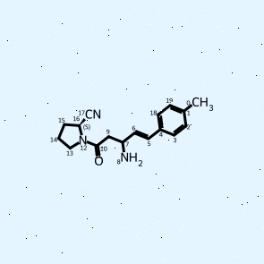 Cc1ccc(C=CC(N)CC(=O)N2CCC[C@H]2C#N)cc1